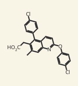 Cc1cc2nc(Oc3ccc(Cl)cc3)ccc2c(-c2ccc(Cl)cc2)c1CC(=O)O